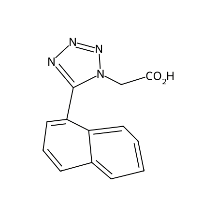 O=C(O)Cn1nnnc1-c1cccc2ccccc12